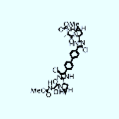 COC(=O)N[C@@H](C)C(=O)N1[C@@H]2C[C@@H]2C[C@H]1c1nc(Cl)c(-c2ccc(-c3ccc(-c4[nH]c([C@@H]5C[C@H]6C[C@H]6N5C(=O)[C@H](O)NC(=O)OC)nc4Cl)cc3)cc2)[nH]1